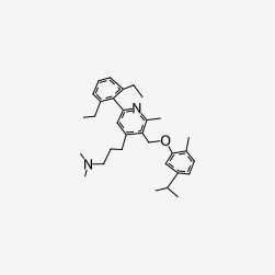 CCc1cccc(CC)c1-c1cc(CCCN(C)C)c(COc2cc(C(C)C)ccc2C)c(C)n1